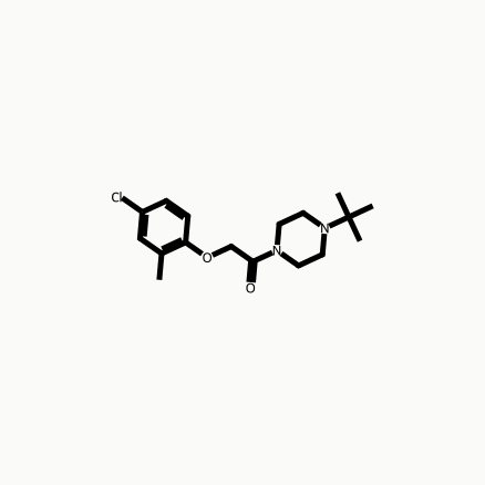 Cc1cc(Cl)ccc1OCC(=O)N1CCN(C(C)(C)C)CC1